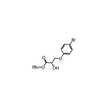 CC(C)(C)OC(=O)[C@H](O)COc1ccc(Br)cc1